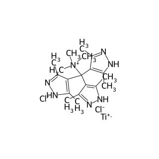 Cc1n[nH]c(C)c1C(c1c(C)n[nH]c1C)(c1c(C)n[nH]c1C)[N+](C)(C)C.[Cl-].[Cl-].[Ti+]